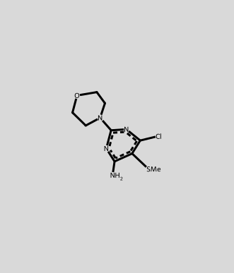 CSc1c(N)nc(N2CCOCC2)nc1Cl